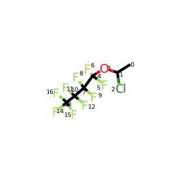 CC(Cl)OC(F)(F)C(F)(F)C(F)(F)C(F)(F)F